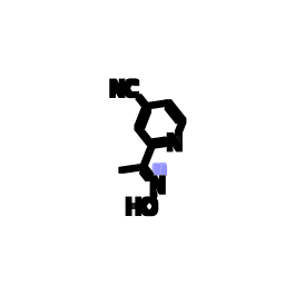 C/C(=N\O)c1cc(C#N)ccn1